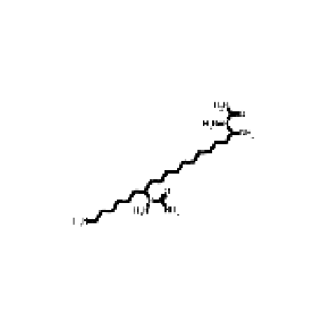 NCCCCCCC(CCCCCCCCCCC(N)N(N)C(N)=O)N(N)C(N)=O